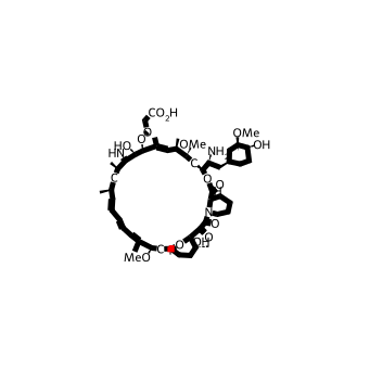 CO[C@H]1C[C@@H]2CC[C@@H](C)[C@@](O)(O2)C(=O)C(=O)N2CCCC[C@H]2C(=O)O[C@H]([C@H](N)C[C@@H]2CC[C@@H](O)[C@H](OC)C2)C[C@@H](OC)[C@H](C)/C=C(\C)[C@@H](OOCC(=O)O)[C@@H](O)C(=N)[C@H](C)C[C@H](C)/C=C/C=C/C=C/1C